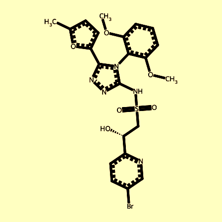 COc1cccc(OC)c1-n1c(NS(=O)(=O)C[C@@H](O)c2ccc(Br)cn2)nnc1-c1ccc(C)o1